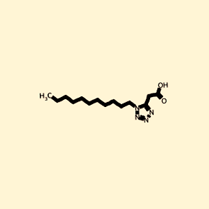 CCCCCCCCCCCn1nnnc1CC(=O)O